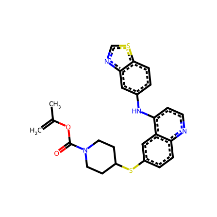 C=C(C)OC(=O)N1CCC(Sc2ccc3nccc(Nc4ccc5scnc5c4)c3c2)CC1